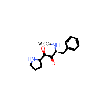 CON[C@@H](Cc1ccccc1)C(=O)C(=O)C1CCCN1